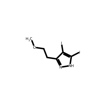 COCCc1n[nH]c(I)c1I